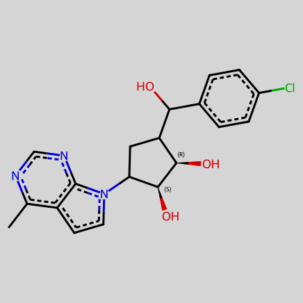 Cc1ncnc2c1ccn2C1CC(C(O)c2ccc(Cl)cc2)[C@@H](O)[C@H]1O